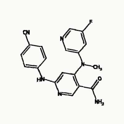 CN(c1cncc(F)c1)c1cc(Nc2ccc(C#N)cc2)ncc1C(N)=O